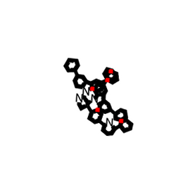 c1ccc(-c2ccc3c(c2)c2cc(-c4ccccc4)ccc2n3-c2nccc(-c3ccc(-c4cccc(-c5ccccc5)n4)cc3)c2-n2c3ccc(-c4ccccc4)cc3c3cc(-c4ccccc4)ccc32)cc1